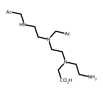 CC(=O)CNCCN(CCN(CCN)CC(=O)O)CC(C)=O